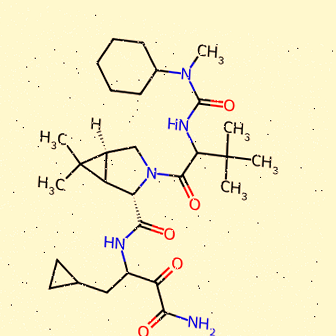 CN(C(=O)NC(C(=O)N1C[C@H]2C([C@H]1C(=O)NC(CC1CC1)C(=O)C(N)=O)C2(C)C)C(C)(C)C)C1CCCCC1